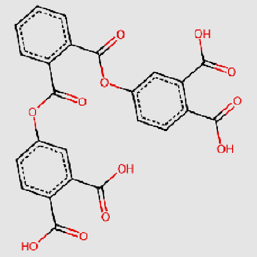 O=C(O)c1ccc(OC(=O)c2ccccc2C(=O)Oc2ccc(C(=O)O)c(C(=O)O)c2)cc1C(=O)O